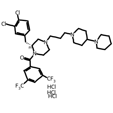 Cl.Cl.Cl.O=C(c1cc(C(F)(F)F)cc(C(F)(F)F)c1)N1CCN(CCCN2CCC(N3CCCCC3)CC2)C[C@H]1Cc1ccc(Cl)c(Cl)c1